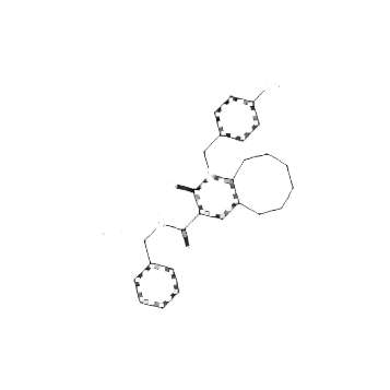 N#Cc1ccc(Cn2c3c(cc(C(=O)N[C@@H](C(=O)O)c4ccccc4)c2=O)CCCCCC3)cc1